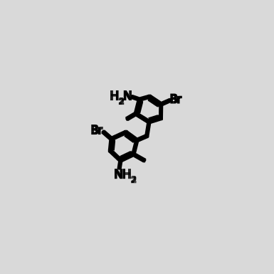 Cc1c(N)cc(Br)cc1Cc1cc(Br)cc(N)c1C